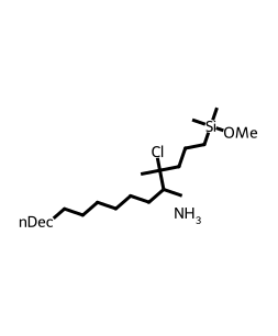 CCCCCCCCCCCCCCCCC(C)C(C)(Cl)CCC[Si](C)(C)OC.N